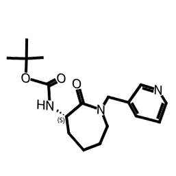 CC(C)(C)OC(=O)N[C@H]1CCCCN(Cc2cccnc2)C1=O